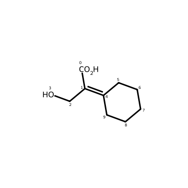 O=C(O)C(CO)=C1CCCCC1